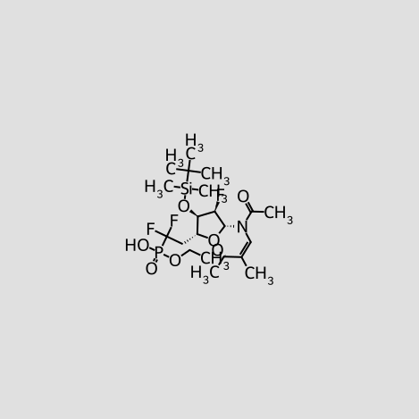 CCOP(=O)(O)C(F)(F)C[C@H]1O[C@@H](N(/C=C(/C)C(C)=O)C(C)=O)[C@H](F)[C@@H]1O[Si](C)(C)C(C)(C)C